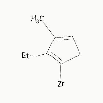 CCC1=[C]([Zr])CC=C1C